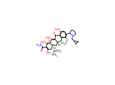 COc1c(C2CCCN2CC2CC2)cc(O)c2c1C[C@H]1C[C@H]3[C@H](N(C)C)C(O)=C(C(N)=O)C4(O)O[C@]34C(O)=C1C2=O